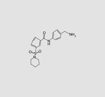 NCc1ccc(NC(=O)c2cccc(S(=O)(=O)N3CCCCC3)c2)cc1